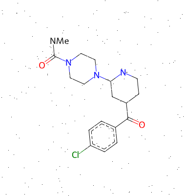 CNC(=O)N1CCN(C2CC(C(=O)c3ccc(Cl)cc3)CC[N]2)CC1